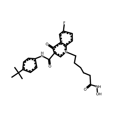 CC(C)(C)c1ccc(NC(=O)c2cn(CCCCCC(=O)NO)c3ccc(F)cc3c2=O)cc1